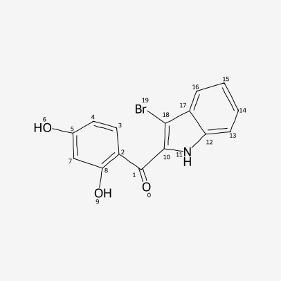 O=C(c1ccc(O)cc1O)c1[nH]c2ccccc2c1Br